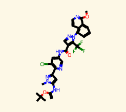 C=C(Nc1cc(-c2ncc(NC(=O)c3cnn(-c4cccc5c(OC)nccc45)c3C(F)(F)F)cc2Cl)nn1C)OC(C)(C)C